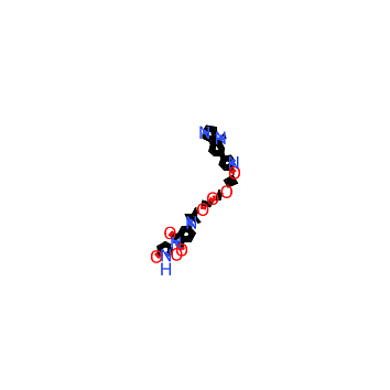 Cn1c2ccncc2c2ccc(-c3ccc(O[C@H]4C[C@H](OCCOCCOCC5CN(c6ccc7c(c6)C(=O)N(C6CCC(=O)NC6=O)C7=O)C5)C4)nc3)cc21